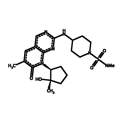 CNS(=O)(=O)N1CCC(Nc2ncc3cc(C)c(=O)n([C@H]4CCC[C@]4(C)O)c3n2)CC1